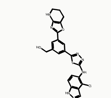 OCc1cc(-c2nc3c(o2)CCCN3)cc(-c2nnc(Nc3ccc4[nH]ncc4c3Cl)s2)c1